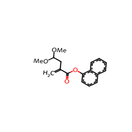 C=C(CC(OC)OC)C(=O)Oc1cccc2ccccc12